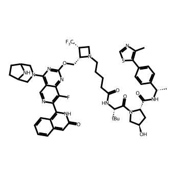 Cc1ncsc1-c1ccc([C@H](C)NC(=O)[C@@H]2C[C@@H](O)CN2C(=O)[C@@H](NC(=O)CCCCN2C[C@@H](C(F)(F)F)[C@H]2COc2nc(N3CC4CCC(C3)N4)c3cnc(-c4[nH]c(=O)cc5ccccc45)c(F)c3n2)C(C)(C)C)cc1